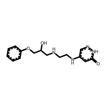 O=c1cc(NCCNCC(O)COc2ccccc2)cn[nH]1